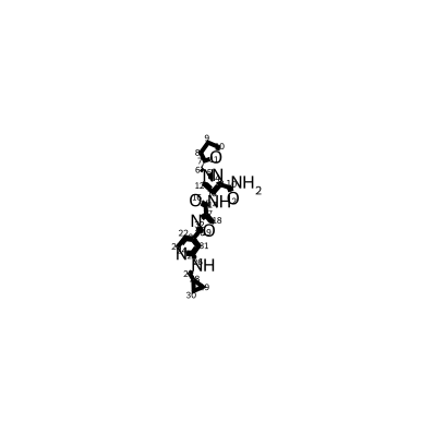 NC(=O)c1nn(C[C@@H]2CCCO2)cc1NC(=O)c1coc(-c2ccnc(NCC3CC3)c2)n1